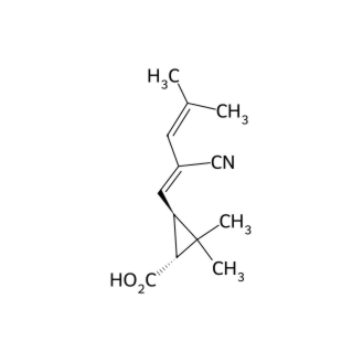 CC(C)=C/C(C#N)=C/[C@@H]1[C@@H](C(=O)O)C1(C)C